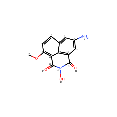 COc1ccc2cc(N)cc3c2c1C(=O)N(O)C3=O